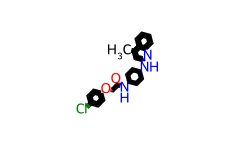 Cc1cc(N[C@H]2CC[C@@H](NC(=O)COc3ccc(Cl)cc3)CC2)nc2ccccc12